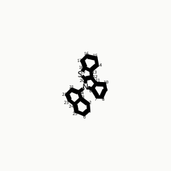 c1ccc2c(-n3c4ccccc4c4c5ccccc5sc43)cccc2c1